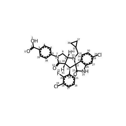 O=C(O)c1ccc(N2C[C@H]3[C@@H](C2=O)[C@H](c2cccc(Cl)c2F)[C@]2(C(=O)Nc4cc(Cl)ccc42)N3CC2CC2)cc1